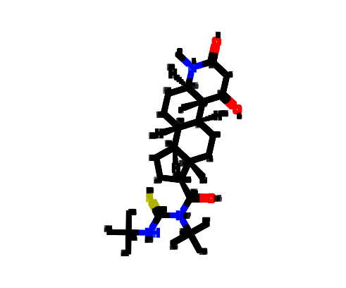 CN1C(=O)CC(=O)[C@]2(C)[C@H]3CC[C@]4(C)[C@@H](C(=O)N(C(=S)NC(C)(C)C)C(C)(C)C)CC[C@H]4[C@@H]3CC[C@@H]12